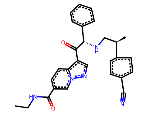 CCNC(=O)c1ccc2c(C(=O)[C@@H](NC[C@@H](C)c3ccc(C#N)cc3)c3ccccc3)cnn2c1